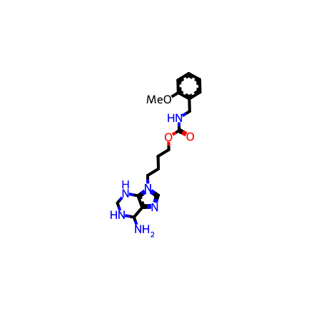 COc1ccccc1CNC(=O)OCCCCn1cnc2c1NCNC2N